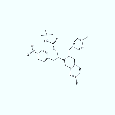 CC(C)(C)NC(=O)OCC(Cc1ccc([N+](=O)[O-])cc1)N1Cc2cc(F)ccc2CC1Cc1ccc(F)cc1